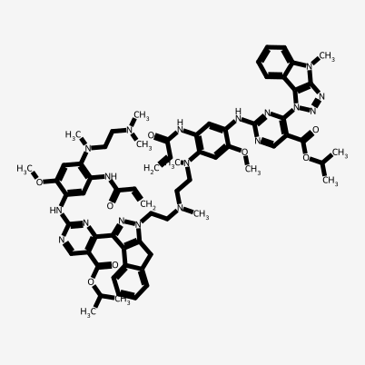 C=CC(=O)Nc1cc(Nc2ncc(C(=O)OC(C)C)c(-c3nn(CCN(C)CCN(C)c4cc(OC)c(Nc5ncc(C(=O)OC(C)C)c(-n6nnc7c6c6ccccc6n7C)n5)cc4NC(=O)C=C)c4c3-c3ccccc3C4)n2)c(OC)cc1N(C)CCN(C)C